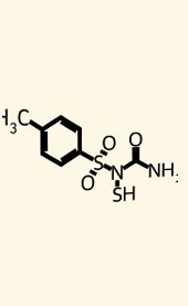 Cc1ccc(S(=O)(=O)N(S)C(N)=O)cc1